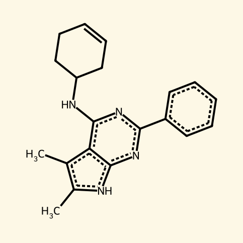 Cc1[nH]c2nc(-c3ccccc3)nc(NC3CC=CCC3)c2c1C